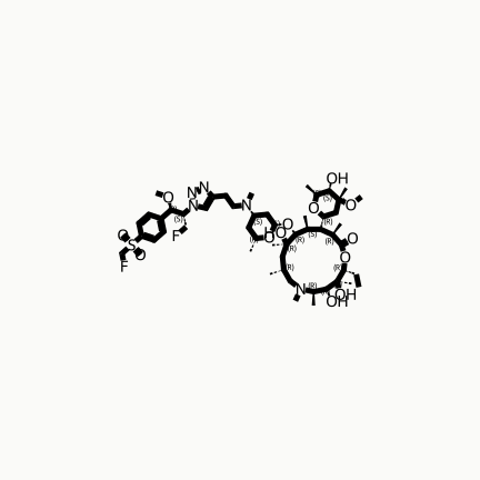 CC[C@H]1OC(=O)[C@H](C)C([C@H]2C[C@@](C)(OC)[C@@H](O)[C@H](C)O2)[C@H](C)[C@@H](O[C@H]2C[C@@H](N(C)CCc3cn([C@H](CF)[C@H](OC)c4ccc(S(=O)(=O)CF)cc4)nn3)C[C@@H](C)O2)[C@](C)(O)C[C@@H](C)CN(C)[C@H](C)[C@@H](O)[C@]1(C)O